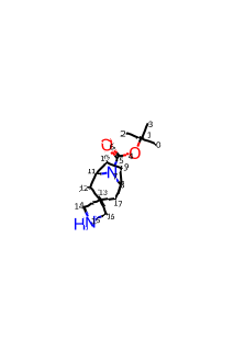 CC(C)(C)OC(=O)N1C2CCC1CC1(CNC1)C2